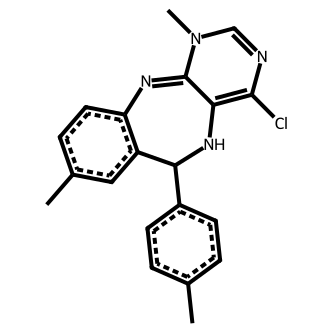 Cc1ccc(C2NC3=C(Cl)N=CN(C)C3=Nc3ccc(C)cc32)cc1